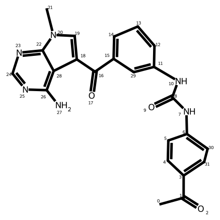 CC(=O)c1ccc(NC(=O)Nc2cccc(C(=O)c3cn(C)c4ncnc(N)c34)c2)cc1